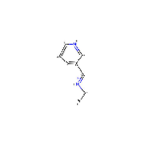 CC(C)C/N=C/c1cccnc1